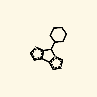 c1cc2c(s1)C(C1CCCCC1)n1cncc1-2